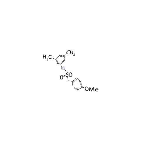 COc1ccc(CS(=O)(=O)/C=C/c2cc(C)cc(C)c2)cc1